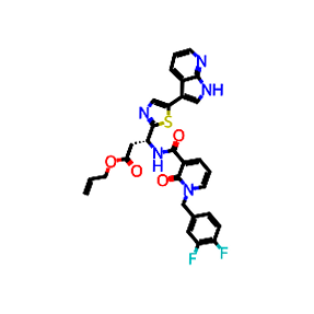 C=CCOC(=O)C[C@@H](NC(=O)c1cccn(Cc2ccc(F)c(F)c2)c1=O)c1ncc(-c2c[nH]c3ncccc23)s1